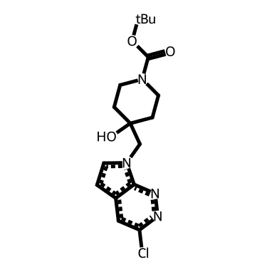 CC(C)(C)OC(=O)N1CCC(O)(Cn2ccc3cc(Cl)nnc32)CC1